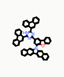 c1ccc2cc3c(cc2c1)c1cc2ccccc2cc1n3-c1cc(C2=NC(c3cc4ccccc4c4ccccc34)NC(c3cc4ccccc4c4ccccc34)=N2)cc2c1oc1ccccc12